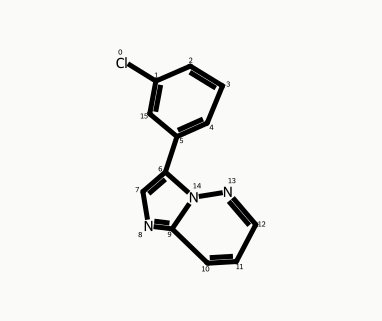 Clc1cccc(-c2cnc3cccnn23)c1